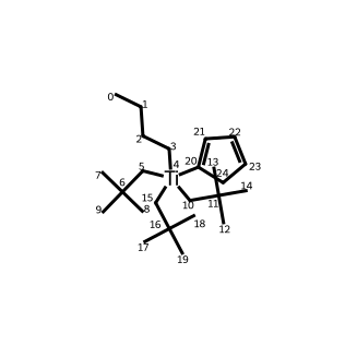 CCC[CH2][Ti]([CH2]C(C)(C)C)([CH2]C(C)(C)C)([CH2]C(C)(C)C)[C]1=CC=CC1